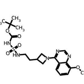 COc1cccc2c(N3CC(CCNS(=O)(=O)NC(=O)OC(C)(C)C)C3)ncnc12